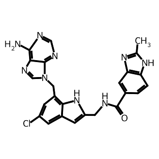 Cc1nc2cc(C(=O)NCc3cc4cc(Cl)cc(Cn5cnc6c(N)ncnc65)c4[nH]3)ccc2[nH]1